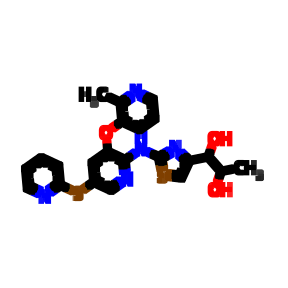 Cc1ncccc1Oc1cc(Sc2ccccn2)cnc1Nc1nc(C(O)C(C)O)cs1